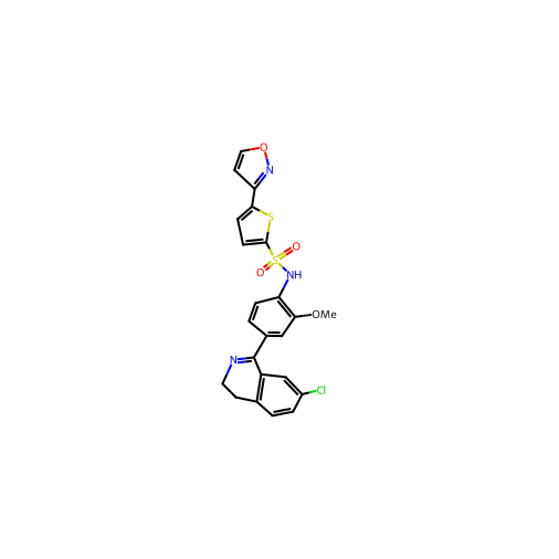 COc1cc(C2=NCCc3ccc(Cl)cc32)ccc1NS(=O)(=O)c1ccc(-c2ccon2)s1